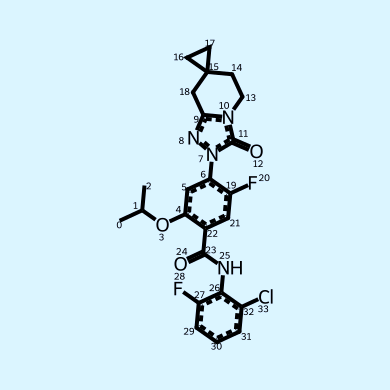 CC(C)Oc1cc(-n2nc3n(c2=O)CCC2(CC2)C3)c(F)cc1C(=O)Nc1c(F)cccc1Cl